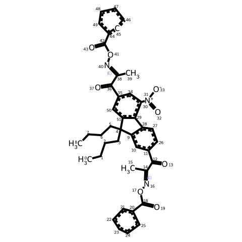 CCCCC1(CCCC)c2cc(C(=O)/C(C)=N/OC(=O)c3ccccc3)ccc2-c2c([N+](=O)[O-])cc(C(=O)/C(C)=N/OC(=O)c3ccccc3)cc21